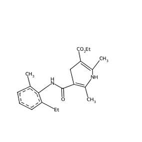 CCOC(=O)C1=C(C)NC(C)=C(C(=O)Nc2c(C)cccc2CC)C1